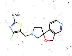 CNc1nc(F)c(CN2CCC3(C2)OCc2cnccc23)s1